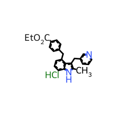 CCOC(=O)c1ccc(Cc2cccc3[nH]c(C)c(Cc4cccnc4)c23)cc1.Cl